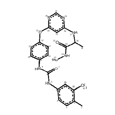 Cc1ccc(NC(=O)Nc2ccc(Oc3cc(NC(C)C(=O)NC(C)(C)C)ncn3)cc2)cc1C(F)(F)F